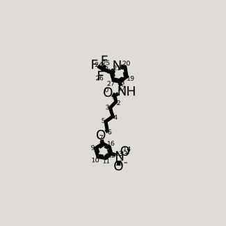 O=C(CCCCCOc1cccc([N+](=O)[O-])c1)Nc1ccnc(C(F)(F)F)c1